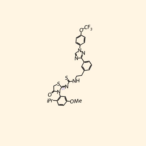 COc1ccc(C(C)C)c(N2C(=O)CS/C2=N\C(=S)NCCc2cccc(-c3ncn(-c4ccc(OC(F)(F)F)cc4)n3)c2)c1